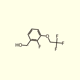 O[CH]c1cccc(OCC(F)(F)F)c1F